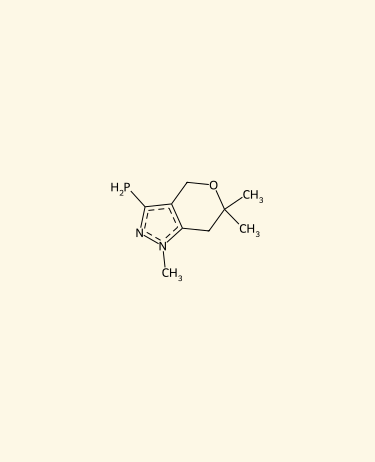 Cn1nc(P)c2c1CC(C)(C)OC2